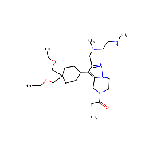 CCOCC1(COCC)CCC(c2c(CN(C)CCNC)nn3c2CN(C(=O)CC)CC3)CC1